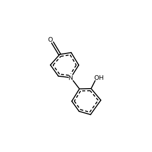 O=c1ccn(-c2ccccc2O)cc1